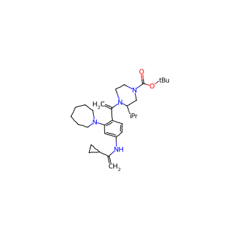 C=C(Nc1ccc(C(=C)N2CCN(C(=O)OC(C)(C)C)CC2C(C)C)c(N2CCCCCC2)c1)C1CC1